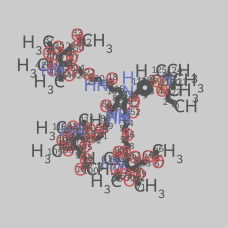 C#CCCOP(Oc1ccc(C(=O)NC(CCC(=O)NCCOCCOC2OC(COC(C)=O)C(OC(C)=O)C(OC(C)=O)C2NC(C)=O)(CCC(=O)NCCOCCOC2OC(COC(C)=O)C(OC(C)=O)C(OC(C)=O)C2NC(C)=O)CCC(=O)NCCOCCOC2OC(COC(C)=O)C(OC(C)=O)C(OC(C)=O)C2NC(C)=O)cc1)N(C(C)C)C(C)C